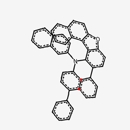 c1ccc(-c2ccc(N(c3ccc4ccccc4c3)c3c(-c4ccccc4)ccc4oc5ccc6ccccc6c5c34)cc2)cc1